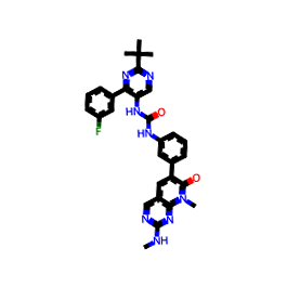 CNc1ncc2cc(-c3cccc(NC(=O)Nc4cnc(C(C)(C)C)nc4-c4cccc(F)c4)c3)c(=O)n(C)c2n1